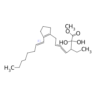 CCCCCC/C=C/C1=C(CC=C=CC(CC)C(O)(O)C(=O)OC)CCC1